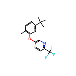 Cc1ccc(C(C)(C)C)cc1Oc1ccc(C(F)(F)F)nc1